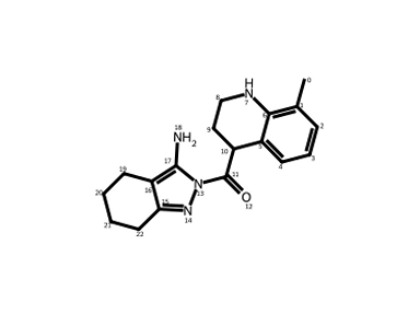 Cc1cccc2c1NCCC2C(=O)n1nc2c(c1N)CCCC2